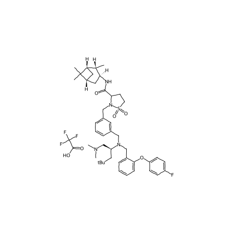 C[C@@H]1[C@@H](NC(=O)C2CCS(=O)(=O)N2Cc2cccc(CN(Cc3ccccc3Oc3ccc(F)cc3)[C@H](CN(C)C)CC(C)(C)C)c2)C[C@H]2C[C@@H]1C2(C)C.O=C(O)C(F)(F)F